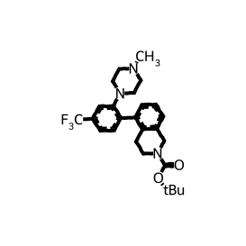 CN1CCN(c2cc(C(F)(F)F)ccc2-c2cccc3c2CCN(C(=O)OC(C)(C)C)C3)CC1